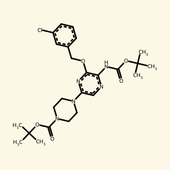 CC(C)(C)OC(=O)Nc1ncc(N2CCN(C(=O)OC(C)(C)C)CC2)nc1OCc1cccc(Cl)c1